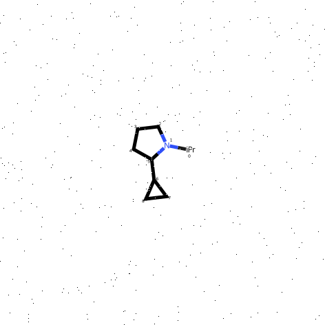 CC(C)N1CCCC1C1CC1